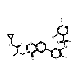 Cc1ncc(-c2ccc3ncn(CC(C)C(=O)NC4CC4)c(=O)c3c2)cc1NS(=O)(=O)c1ccc(F)cc1Cl